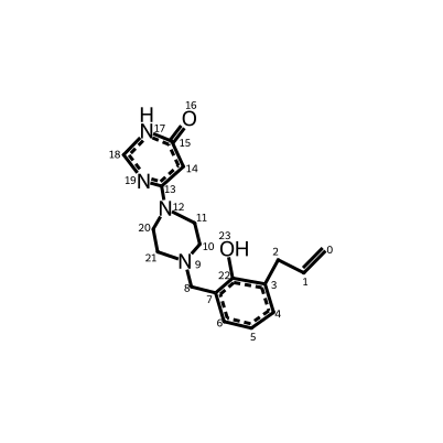 C=CCc1cccc(CN2CCN(c3cc(=O)[nH]cn3)CC2)c1O